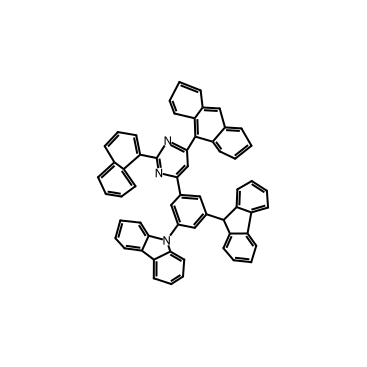 c1ccc2c(c1)-c1ccccc1C2c1cc(-c2cc(-c3c4ccccc4cc4ccccc34)nc(-c3cccc4ccccc34)n2)cc(-n2c3ccccc3c3ccccc32)c1